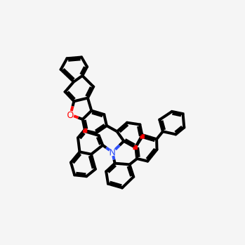 c1ccc(-c2ccc(-c3ccccc3N(c3ccccc3-c3ccc4oc5cc6ccccc6cc5c4c3)c3cccc4ccccc34)cc2)cc1